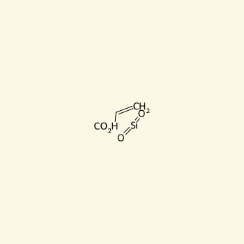 C=CC(=O)O.O=[Si]=O